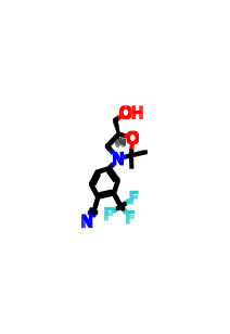 CC1(C)O[C@H](CO)CN1c1ccc(C#N)c(C(F)(F)F)c1